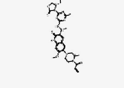 C=CC(=O)N1CCN(c2cc3cc([C@H](C)Nc4nc(C)nc(N5C(=O)OC[C@@H]5CC)n4)c(=O)[nH]c3cc2OC)C[C@H]1C